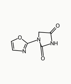 O=C1CN(c2ncco2)C(=O)N1